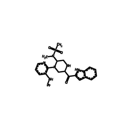 CC(C)Nc1cccnc1N1CC(C(=O)c2cc3ccccc3[nH]2)NCC1N(C)S(C)(=O)=O